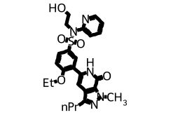 CCCc1nn(C)c2c(=O)[nH]c(-c3cc(S(=O)(=O)N(CCO)c4ccccn4)ccc3OCC)cc12